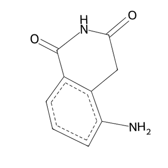 Nc1cccc2c1CC(=O)NC2=O